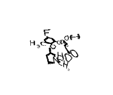 Cc1cc(F)cc(C)c1OCC1CCCN(C)C1.O=C(O)/C=C/C(=O)O